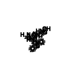 NC(=O)c1cnc(N2CCC[C@H](NC(=O)O)C2)nc1Nc1cc(-c2ccccc2)c(=O)n(-c2ccccc2)c1